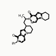 CC(C)n1ccc2c(cc3n2CCCC3CC(C)n2ncc3c(cc4n3CCCC4)c2=O)c1=O